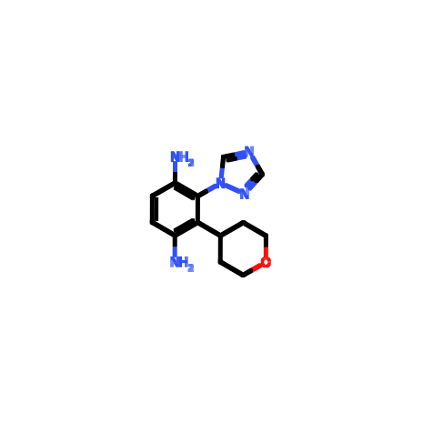 Nc1ccc(N)c(-n2cncn2)c1C1CCOCC1